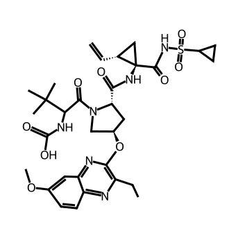 C=C[C@@H]1C[C@]1(NC(=O)[C@@H]1C[C@@H](Oc2nc3cc(OC)ccc3nc2CC)CN1C(=O)C(NC(=O)O)C(C)(C)C)C(=O)NS(=O)(=O)C1CC1